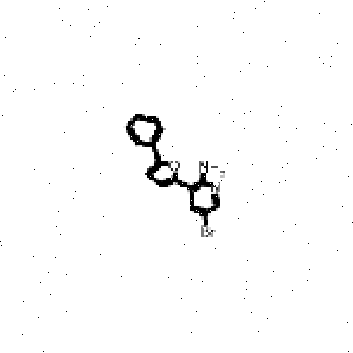 Nc1ncc(Br)cc1-c1ccc(-c2ccccc2)o1